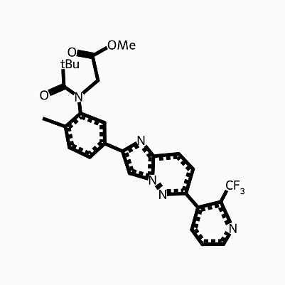 COC(=O)CN(C(=O)C(C)(C)C)c1cc(-c2cn3nc(-c4cccnc4C(F)(F)F)ccc3n2)ccc1C